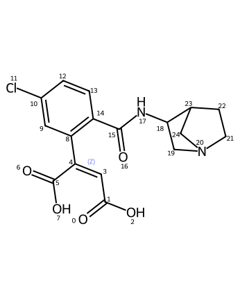 O=C(O)/C=C(\C(=O)O)c1cc(Cl)ccc1C(=O)NC1CN2CCC1C2